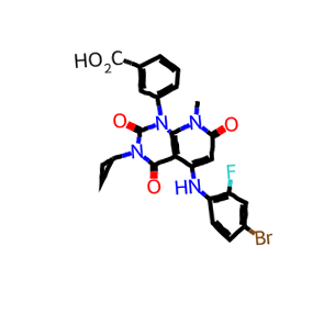 Cn1c(=O)cc(Nc2ccc(Br)cc2F)c2c(=O)n(C3CC3)c(=O)n(-c3cccc(C(=O)O)c3)c21